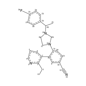 CCc1ncccc1-c1cc(C#N)ccc1N1CCN(C(C)c2ccc(F)cc2)C1